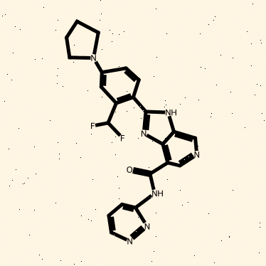 O=C(Nc1cccnn1)c1cncc2[nH]c(-c3ccc(N4CCCC4)cc3C(F)F)nc12